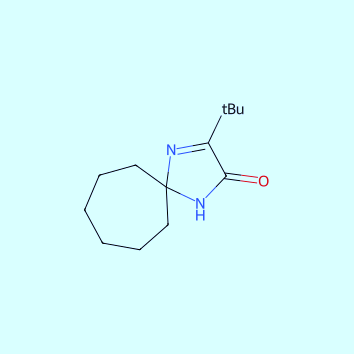 CC(C)(C)C1=NC2(CCCCCC2)NC1=O